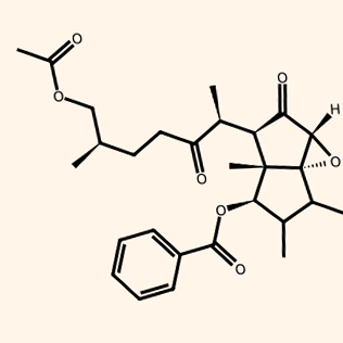 CC(=O)OC[C@H](C)CCC(=O)[C@@H](C)[C@H]1C(=O)[C@@H]2O[C@@]23C(C)C(C)[C@@H](OC(=O)c2ccccc2)[C@]13C